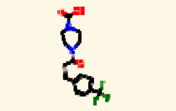 O=C(O)N1CCN(C(=O)/C=C\c2ccc(C(F)(F)F)cc2)CC1